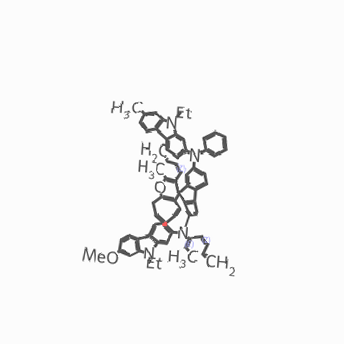 C=C/C=C\C1=C(C)OC2=C(C=CC=CC2)C12c1cc(N(C(/C=C\C=C)=C/C)c3ccc4c5ccc(OC)cc5n(CC)c4c3)ccc1-c1ccc(N(c3ccccc3)c3ccc4c5ccc(C)cc5n(CC)c4c3)cc12